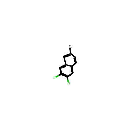 CCc1ccc2cc(Cl)c(Cl)cc2c1